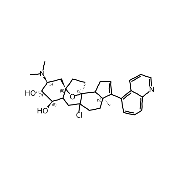 CN(C)[C@H]1C[C@@]23CC[C@]4(O2)C2CC=C(c5cccc6ncccc56)[C@@]2(C)CCC4(Cl)CC3[C@@H](O)[C@@H]1O